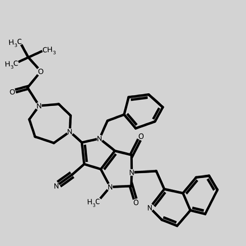 Cn1c(=O)n(Cc2nccc3ccccc23)c(=O)c2c1c(C#N)c(N1CCCN(C(=O)OC(C)(C)C)CC1)n2Cc1ccccc1